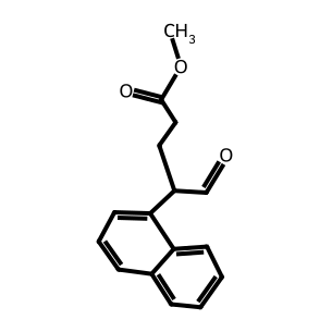 COC(=O)CCC(C=O)c1cccc2ccccc12